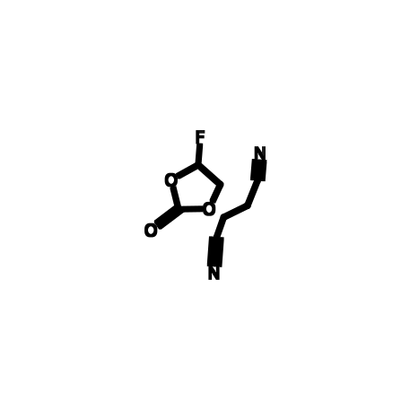 N#CCCC#N.O=C1OCC(F)O1